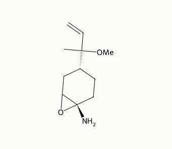 C=CC(C)(OC)[C@@H]1CC[C@]2(N)OC2C1